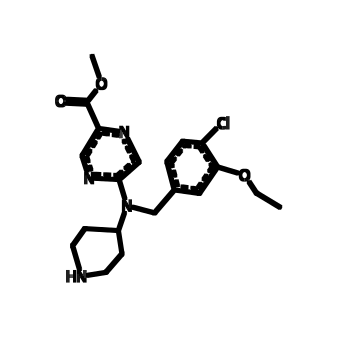 CCOc1cc(CN(c2cnc(C(=O)OC)cn2)C2CCNCC2)ccc1Cl